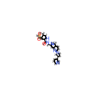 Cc1ccc(C(=O)NCc2cc3nc(N4CC[C@@H](c5cccnc5)C4)ccc3cn2)cc1S(C)(=O)=O